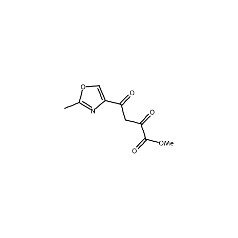 COC(=O)C(=O)CC(=O)c1coc(C)n1